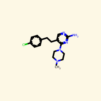 CN1CCN(c2nc(N)ncc2CCc2ccc(Cl)cc2)CC1